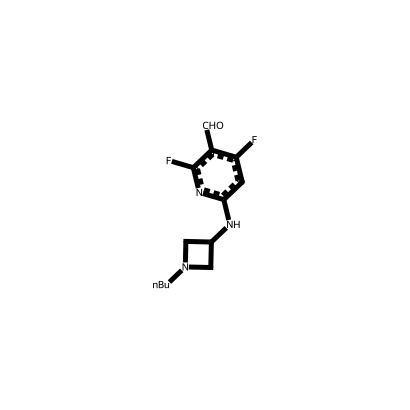 CCCCN1CC(Nc2cc(F)c(C=O)c(F)n2)C1